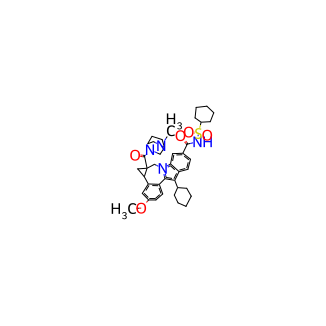 COc1ccc2c(c1)C1CC1(C(=O)N1CC3CCC1CN3C)Cn1c-2c(C2CCCCC2)c2ccc(C(=O)NS(=O)(=O)C3CCCCC3)cc21